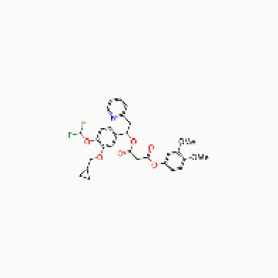 COc1ccc(OC(=O)CC(=O)OC(Cc2ccccn2)c2ccc(OC(F)F)c(OCC3CC3)c2)cc1OC